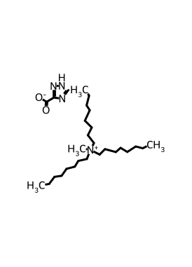 CCCCCCCC[N+](C)(CCCCCCCC)CCCCCCCC.O=C([O-])c1nc[nH]n1